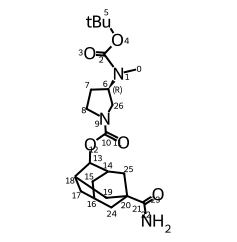 CN(C(=O)OC(C)(C)C)[C@@H]1CCN(C(=O)OC2C3CC4CC2CC(C(N)=O)(C4)C3)C1